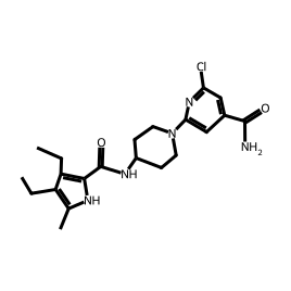 CCc1c(C)[nH]c(C(=O)NC2CCN(c3cc(C(N)=O)cc(Cl)n3)CC2)c1CC